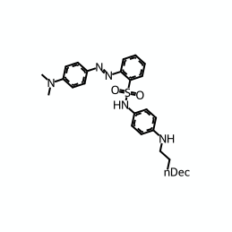 CCCCCCCCCCCCNc1ccc(NS(=O)(=O)c2ccccc2/N=N/c2ccc(N(C)C)cc2)cc1